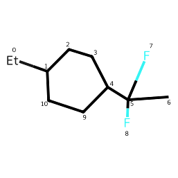 CCC1CCC(C(C)(F)F)CC1